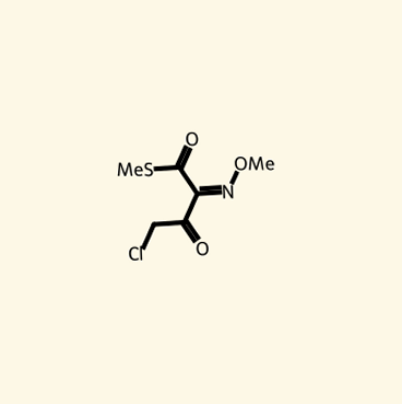 CON=C(C(=O)CCl)C(=O)SC